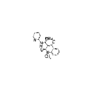 CCCCOc1c(C(=O)Nc2ccccn2)c(=O)n(C)c2ccccc12